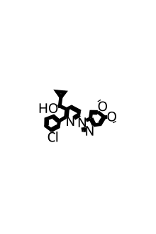 COc1cc2ncn(-c3ccc(C(O)C4CC4)c(-c4cccc(Cl)c4)n3)c2cc1OC